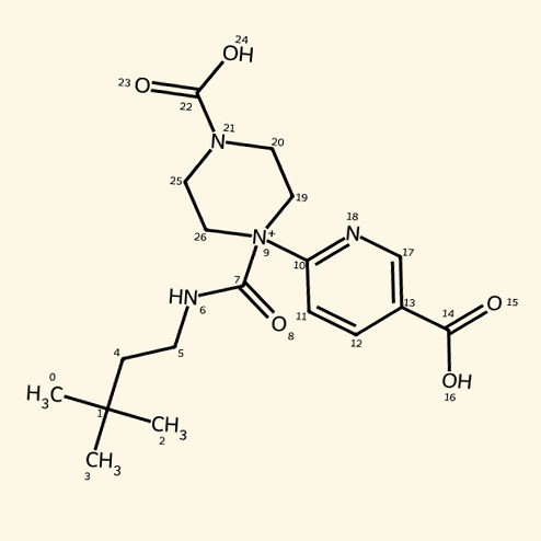 CC(C)(C)CCNC(=O)[N+]1(c2ccc(C(=O)O)cn2)CCN(C(=O)O)CC1